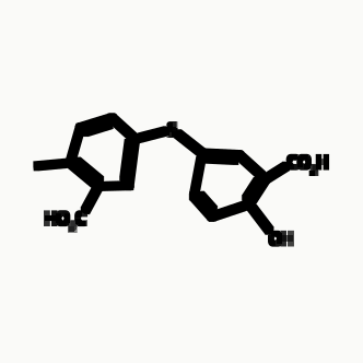 Cc1ccc(Sc2ccc(O)c(C(=O)O)c2)cc1C(=O)O